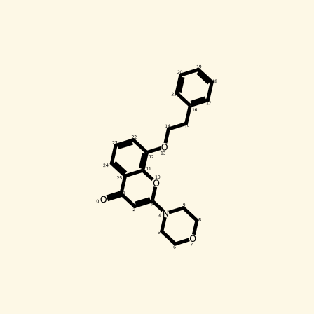 O=c1cc(N2CCOCC2)oc2c(OCCc3ccccc3)cccc12